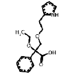 CCOC(COCCc1ccc[nH]1)(C(=O)O)c1ccccc1